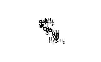 CC(C)(C)OC(=O)N1CCC[C@H]1C1=NCC(c2ccc3oc4cc(-c5cnc([C@@H]6CCCN6C(=O)OC(C)(C)C)[nH]5)ccc4c(=O)c3c2)N1